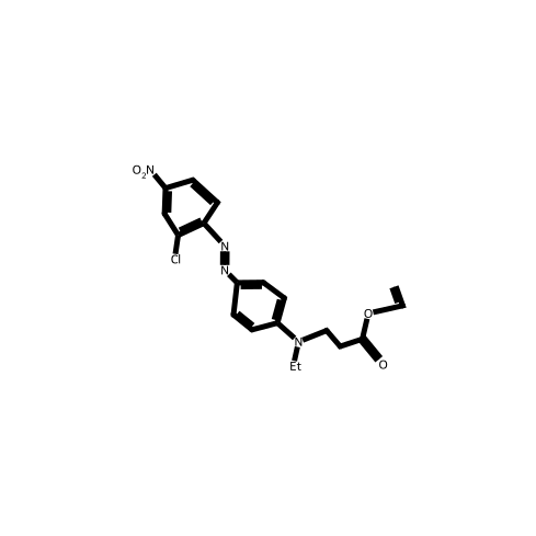 C=COC(=O)CCN(CC)c1ccc(N=Nc2ccc([N+](=O)[O-])cc2Cl)cc1